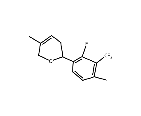 CC1=CCC(c2ccc(C)c(C(F)(F)F)c2F)OC1